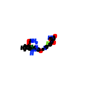 CC(=O)/C(=C\c1cc(Nc2nc(N3CCC(O[C@H]4C[C@H](N5CCC(c6ccc7c(c6F)CN([C@@H]6CCC(=O)NC6=O)C7=O)CC5)C4)CC3)ncc2Cl)ccc1C)OCC(N)=O